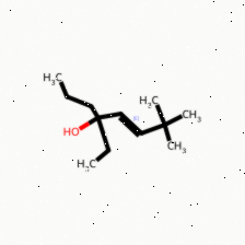 CCCC(O)(/C=C/C(C)(C)C)CC